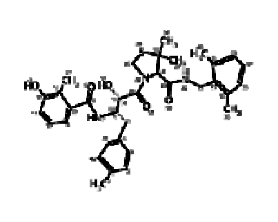 Cc1ccc(C[C@H](NC(=O)c2cccc(O)c2C)[C@H](O)C(=O)N2CSC(C)(C)C2C(=O)NCc2c(C)cccc2C)cc1